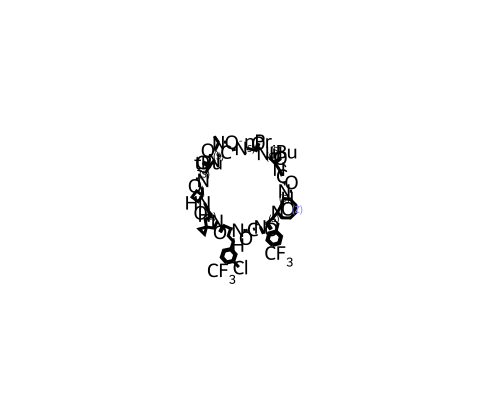 CCC[C@H]1C(=O)N[C@@H]([C@@H](C)CC)C(=O)N(C)CC(=O)N(C)[C@H]2C/C=C\CCN(C2=O)[C@@H](Cc2ccc(C(F)(F)F)cc2)C(=O)N(C)CC(=O)NC(CCc2ccc(C(F)(F)F)c(Cl)c2)C(=O)N2CC3(CC3)C[C@H]2C(=O)NC2(CCC2)C(=O)N(C)[C@@H](CC(C)(C)C)C(=O)N(C)[C@H](C(=O)N(C)C)CC(=O)N1C